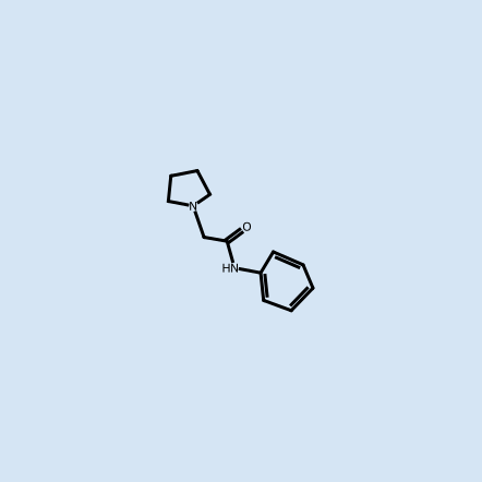 O=C(CN1CCCC1)Nc1ccccc1